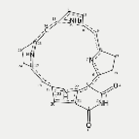 O=C1NC(=O)c2c3nc(cc4ccc(cc5nc(cc6cc1c2[nH]6)CC5)[nH]4)CC3